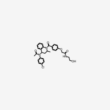 CC(=O)N(c1ccc(Cl)cc1)C1CC(C)N(C(=O)c2ccc(OCC(=O)NCCO)cc2)c2ccccc21